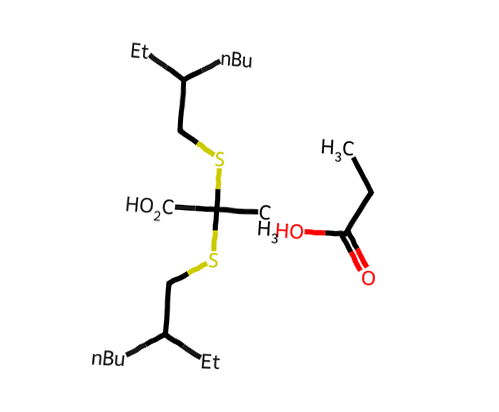 CCC(=O)O.CCCCC(CC)CSC(C)(SCC(CC)CCCC)C(=O)O